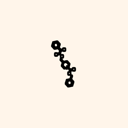 O=C(OCC1CCN(C(=O)OCc2ccccc2)CC1)C(=O)c1ccccc1